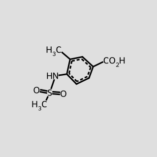 Cc1cc(C(=O)O)ccc1NS(C)(=O)=O